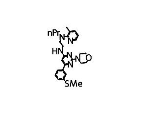 CCCN(CCNc1cc(-c2cccc(SC)c2)nc(N2CCOCC2)n1)c1ncccc1C